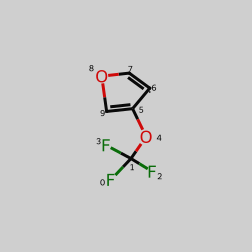 FC(F)(F)Oc1[c]coc1